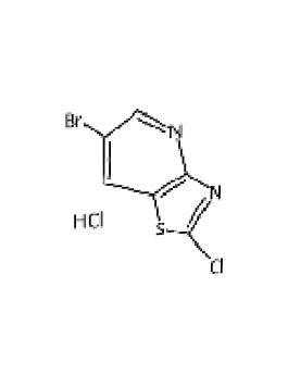 Cl.Clc1nc2ncc(Br)cc2s1